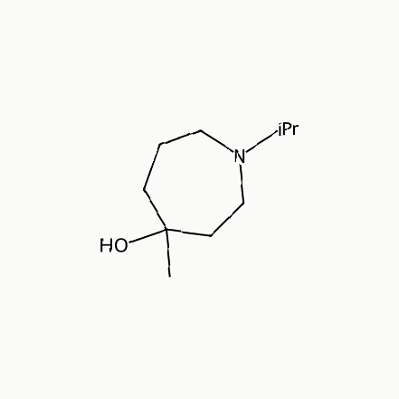 CC(C)N1CCCC(C)(O)CC1